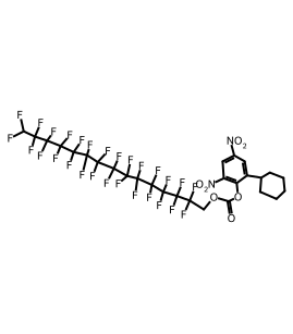 O=C(OCC(F)(F)C(F)(F)C(F)(F)C(F)(F)C(F)(F)C(F)(F)C(F)(F)C(F)(F)C(F)(F)C(F)(F)C(F)(F)C(F)(F)C(F)(F)C(F)F)Oc1c(C2CCCCC2)cc([N+](=O)[O-])cc1[N+](=O)[O-]